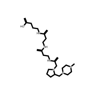 C=C(O)CCCNC(=C)CCNC(=C)CCNC(=C)CN1CCCC1CN1CCN(C)CC1